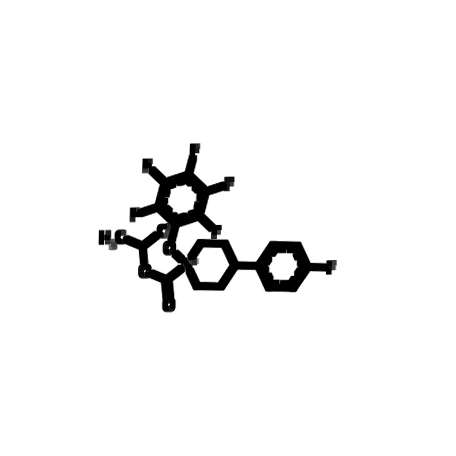 CC(Cl)OC(=O)[N+]1(Oc2c(F)c(F)c(F)c(F)c2F)CCC(c2ccc(F)cc2)CC1